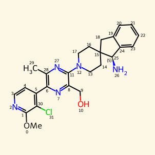 COc1nccc(-c2nc(CO)c(N3CCC4(CC3)Cc3ccccc3[C@H]4N)nc2C)c1Cl